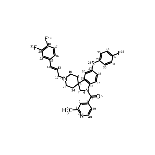 Cc1cc(C(=O)N2CC3(CCN(C/C=C/c4ccc(F)c(F)c4)CC3)c3cc(Sc4ccc(F)cc4)ccc32)ccn1